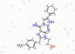 Cc1ccc(Sc2nc3c(=N)n4cc(C5=CCCC=C5)[nH]c4nc3n2CCO)cc1